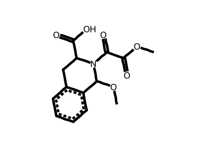 COC(=O)C(=O)N1C(C(=O)O)Cc2ccccc2C1OC